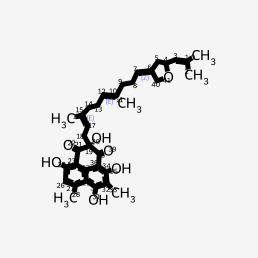 CC(C)=CC1C/C(=C/CC/C(C)=C/CC/C(C)=C/C[C@]2(O)C(=O)c3c(O)cc(C)c4c(O)c(C)c(O)c(c34)C2=O)CO1